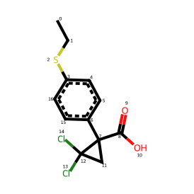 CCSc1ccc(C2(C(=O)O)CC2(Cl)Cl)cc1